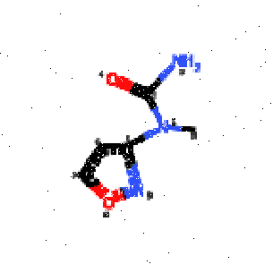 CN(C(N)=O)c1ccon1